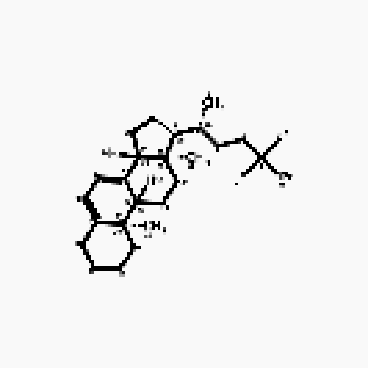 CC(C)C(F)(F)CC[C@@H](C)[C@H]1CC[C@H]2C3=CC=C4CCCC[C@]4(C)[C@H]3CC[C@]12C